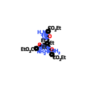 CCOC(=O)c1ccc(NC(=O)NCc2c(CC)c(CNC(=O)Nc3ccc(C(=O)OCC)cc3N)c(CC)c(CNC(=O)Nc3ccc(C(=O)OCC)cc3N)c2CC)c(N)c1